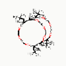 CC(C)(C)CC1(C)COCCOCCOCC(C)(CC(C)(C)C)CC2(C)COCCOCCOCC(C)(C1)CC(C)(C(C)(C)C)COCCOCCOCC(C)(C(C)(C)C)C2